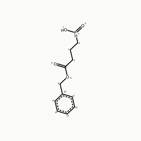 O=C(CC[CH][PH](=O)O)OCc1ccccc1